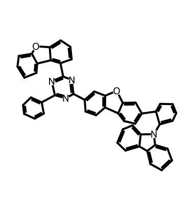 c1ccc(-c2nc(-c3ccc4c(c3)oc3cc(-c5ccccc5-n5c6ccccc6c6ccccc65)ccc34)nc(-c3cccc4oc5ccccc5c34)n2)cc1